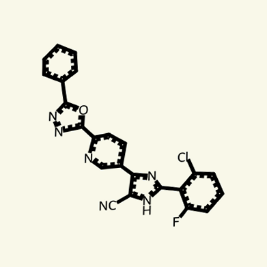 N#Cc1[nH]c(-c2c(F)cccc2Cl)nc1-c1ccc(-c2nnc(-c3ccccc3)o2)nc1